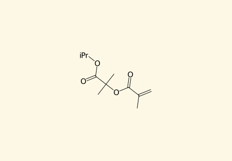 C=C(C)C(=O)OC(C)(C)C(=O)OC(C)C